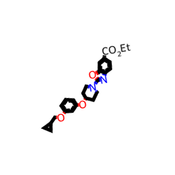 CCOC(=O)c1ccc2nc(N3CCC(Oc4cccc(OCC5CC5)c4)CC3)oc2c1